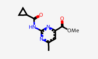 COC(=O)c1cc(C)nc(NC(=O)C2CC2)n1